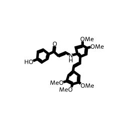 COc1cc(C=Cc2cc(OC)c(OC)c(OC)c2)c(NC=CC(=O)c2ccc(O)cc2)cc1OC